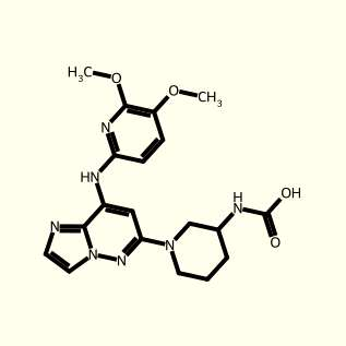 COc1ccc(Nc2cc(N3CCCC(NC(=O)O)C3)nn3ccnc23)nc1OC